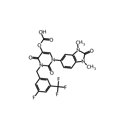 Cn1c(=O)n(C)c2cc(-n3cc(OC(=O)O)c(=O)n(Cc4cc(F)cc(C(F)(F)F)c4)c3=O)ccc21